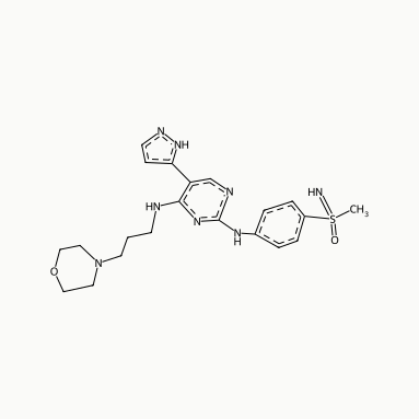 CS(=N)(=O)c1ccc(Nc2ncc(-c3ccn[nH]3)c(NCCCN3CCOCC3)n2)cc1